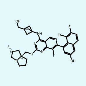 CCc1c(F)ccc2cc(O)cc(-c3ncc4c(NC56CC(CO)(C5)C6)nc(OC[C@@]56CCCN5C[C@H](F)C6)nc4c3F)c12